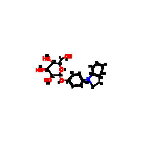 OCC1O[C@H](Oc2ccc(N3CCc4ccccc43)cc2)C(O)[C@@H](O)[C@@H]1O